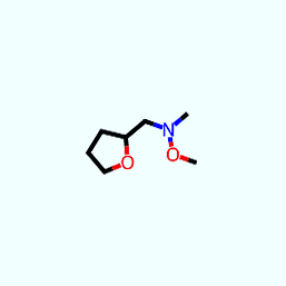 CON(C)CC1CCCO1